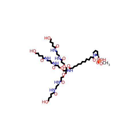 COP(=O)(O)OC[C@@H]1CCCN1C(=O)CCCCCCCCCCC(=O)NC(COCCC(=O)NCCCNC(=O)CCCCO)(COCCC(=O)NCCCNC(=O)CCCCO)COCCC(=O)NCCCNC(=O)CCCCO